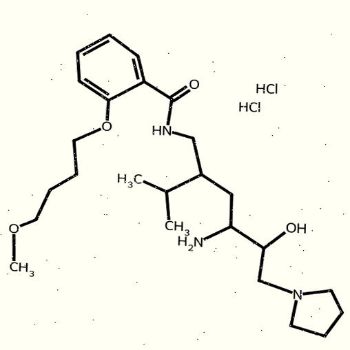 COCCCCOc1ccccc1C(=O)NCC(CC(N)C(O)CN1CCCC1)C(C)C.Cl.Cl